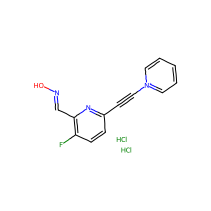 Cl.Cl.ON=Cc1nc(C#C[n+]2ccccc2)ccc1F